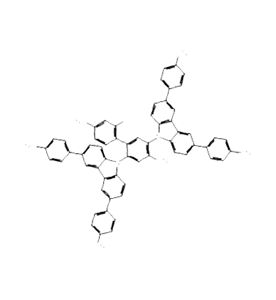 N#Cc1ccc(-c2ccc3c(c2)c2cc(-c4ccc(C#N)cc4)ccc2n3-c2cc(-c3ccc(C#N)cc3C(F)(F)F)c(-n3c4ccc(-c5ccc(C#N)cc5)cc4c4cc(-c5ccc(C#N)cc5)ccc43)cc2C#N)cc1